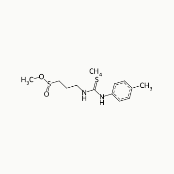 C.COS(=O)CCCNC(=S)Nc1ccc(C)cc1